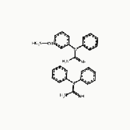 N=C(N)N(c1ccccc1)c1ccccc1.N=C(N)N(c1ccccc1)c1ccccc1.O=S(=O)(O)O